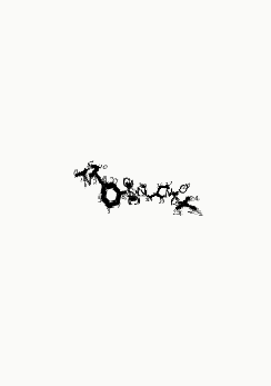 Cc1nc(-c2cccc(S(=O)(=O)N(C)CC3CCN(C(=O)OC(C)(C)C)C3)c2)cs1